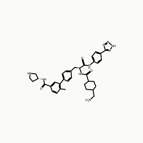 Cc1ccc(C(=O)N[C@@H]2CCNC2)cc1-c1ccc(C[C@H](NC(=O)C2CCC(CN)CC2)C(=O)Nc2ccc(-c3nn[nH]n3)cc2)cc1